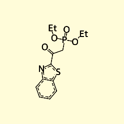 CCOP(=O)(CC(=O)c1nc2ccccc2s1)OCC